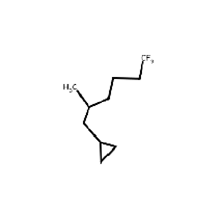 CC(CCCC(F)(F)F)CC1CC1